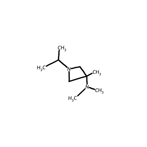 CC(C)N1CC(C)(N(C)C)C1